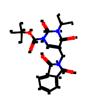 CC(C)n1c(=O)c(CN2C(=O)c3ccccc3C2=O)cn(C(=O)OC(C)(C)C)c1=O